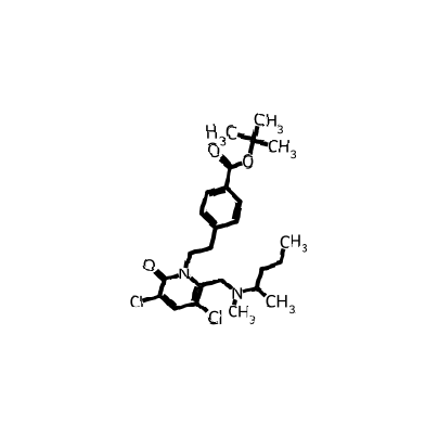 CCCC(C)N(C)Cc1c(Cl)cc(Cl)c(=O)n1CCc1ccc(C(=O)OC(C)(C)C)cc1